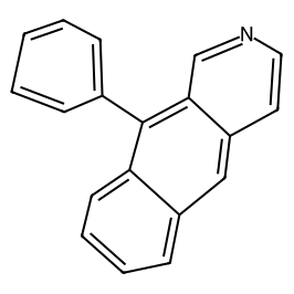 c1ccc(-c2c3ccccc3cc3ccncc23)cc1